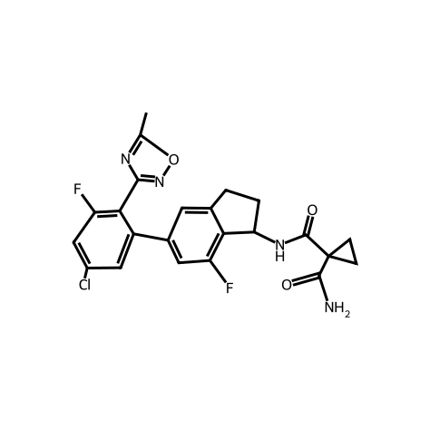 Cc1nc(-c2c(F)cc(Cl)cc2-c2cc(F)c3c(c2)CCC3NC(=O)C2(C(N)=O)CC2)no1